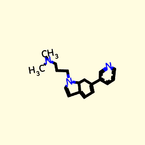 CN(C)CCCN1C=CC2=CC=C(c3cccnc3)CC21